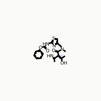 CC(=N)/C(C(=O)N(C)Cc1csc(NC(=O)Oc2ccccc2)n1)=C(/C)O